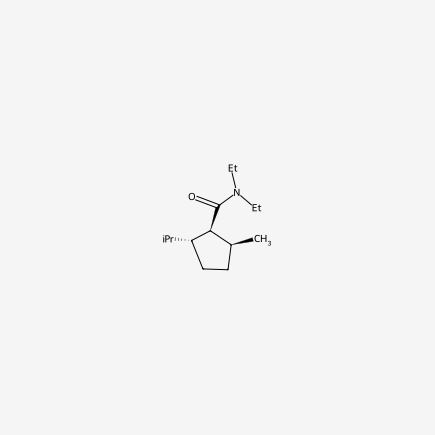 CCN(CC)C(=O)[C@@H]1[C@@H](C(C)C)CC[C@@H]1C